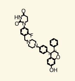 O=C1CCN(c2ccc(CN3CCN(c4ccc([C@@H]5c6ccc(O)cc6OC[C@@H]5c5ccccc5)cc4)CC3)c(F)c2)C(=O)N1